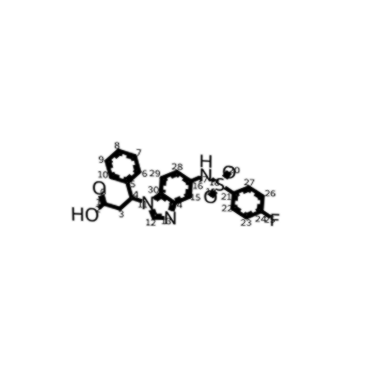 O=C(O)CC(c1ccccc1)n1cnc2cc(NS(=O)(=O)c3ccc(F)cc3)ccc21